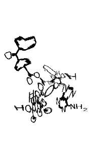 Nc1ncnc2c1ncn2[C@@H]1O[C@H](C(OC(=O)c2ccc(C(=O)c3ccccc3)cc2)OP(=O)(O)OP(=O)(O)OP(=O)(O)O)[C@@H](O)[C@H]1O